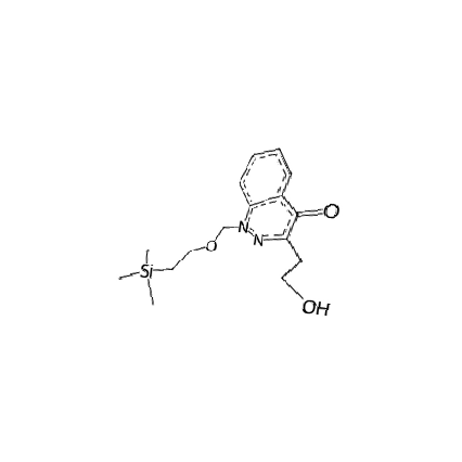 C[Si](C)(C)CCOCn1nc(CCO)c(=O)c2ccccc21